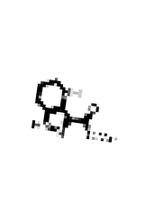 COC(=O)c1n[nH]c2c1NCCC2